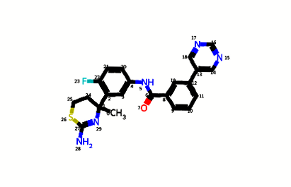 CC1(c2cc(NC(=O)c3cccc(-c4cncnc4)c3)ccc2F)CCSC(N)=N1